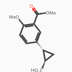 COC(=O)c1cc([C@@H]2C[C@H]2C(=O)O)ccc1OC